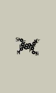 [C-]#[N+]c1ccc(N(c2cc(F)c(-c3cccc([Si](C)(C)C)c3)cc2F)c2ccc3ccc4c(N(c5ccc(C#N)cc5)c5cc(F)c(-c6cccc([Si](C)(C)C)c6)cc5F)ccc5ccc2c3c54)cc1